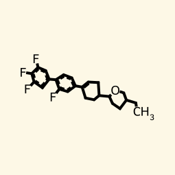 CCC1CCC(C2CC=C(c3ccc(-c4cc(F)c(F)c(F)c4)c(F)c3)CC2)OC1